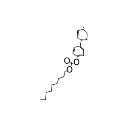 CCCCCCCCCOC(=O)Oc1ccc(C2=CC[CH]C=C2)cc1